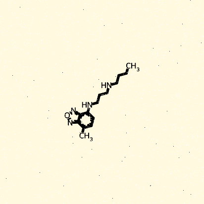 CCCCNCCCNc1ccc(C)c2nonc12